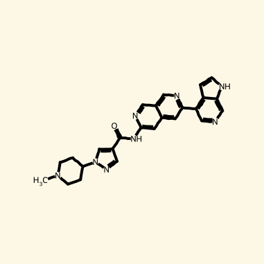 CN1CCC(n2cc(C(=O)Nc3cc4cc(-c5cncc6[nH]ccc56)ncc4cn3)cn2)CC1